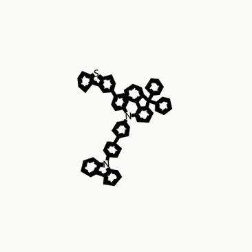 c1ccc(C2(c3ccccc3)c3ccccc3-c3c(N(c4ccc(-c5ccc(-n6c7ccccc7c7ccccc76)cc5)cc4)c4ccc(-c5ccc6sc7ccccc7c6c5)cc4)cccc32)cc1